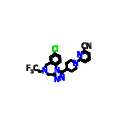 N#Cc1cccc(N2CCC(c3nnc4n3-c3ccc(Cl)cc3CN(CC(F)(F)F)C4)CC2)n1